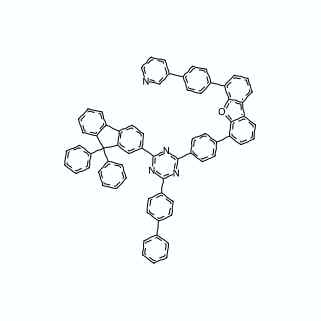 c1ccc(-c2ccc(-c3nc(-c4ccc(-c5cccc6c5oc5c(-c7ccc(-c8cccnc8)cc7)cccc56)cc4)nc(-c4ccc5c(c4)C(c4ccccc4)(c4ccccc4)c4ccccc4-5)n3)cc2)cc1